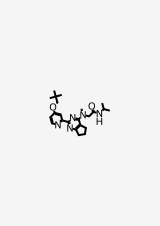 CC(C)NC(=O)CN(C)c1nc(-c2cc(OCC(C)(C)C)ccn2)nc2c1CCC2